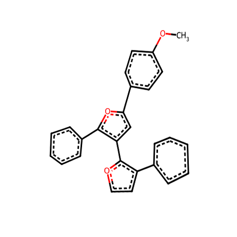 COc1ccc(-c2cc(-c3occc3-c3ccccc3)c(-c3ccccc3)o2)cc1